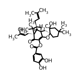 CC(C)=CC[C@H]1C[C@@]23C[C@]4(CCC(C)(C)C[C@]4(C)O)OC2=C(OC(=O)c2ccc(O)c(O)c2)C(=O)[C@](CC=C(C)C)(C3=O)C1(C)C